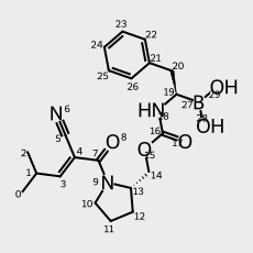 CC(C)/C=C(\C#N)C(=O)N1CCC[C@H]1COC(=O)N[C@@H](Cc1ccccc1)B(O)O